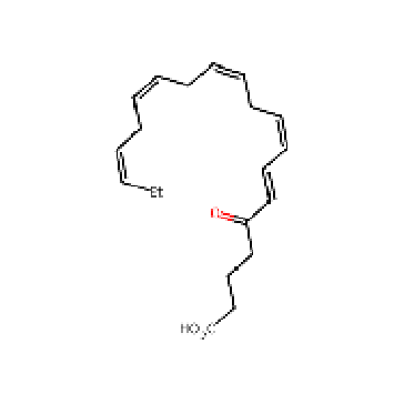 CC/C=C\C/C=C\C/C=C\C/C=C\C=C\C(=O)CCCC(=O)O